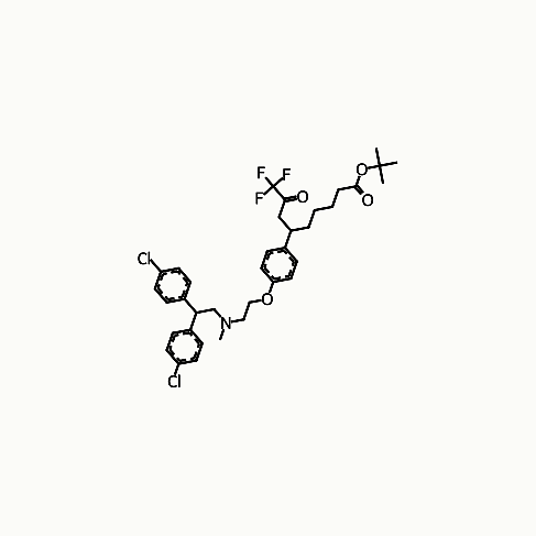 CN(CCOc1ccc(C(CCCCC(=O)OC(C)(C)C)CC(=O)C(F)(F)F)cc1)CC(c1ccc(Cl)cc1)c1ccc(Cl)cc1